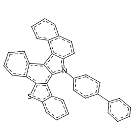 c1ccc(-c2ccc(-n3c4ccc5ccccc5c4c4c5ccccc5c5sc6ccccc6c5c43)cc2)cc1